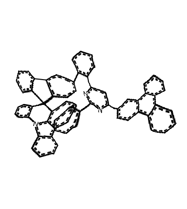 c1ccc(-c2nc(-c3ccc4c5ccccc5c5ccccc5c4c3)cc(-c3ccccc3-c3ccc4c(c3)-c3ccccc3C43c4ccccc4-n4c5ccccc5c5cccc3c54)n2)cc1